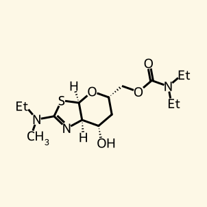 CCN(C)C1=N[C@H]2[C@H](O[C@H](COC(=O)N(CC)CC)C[C@@H]2O)S1